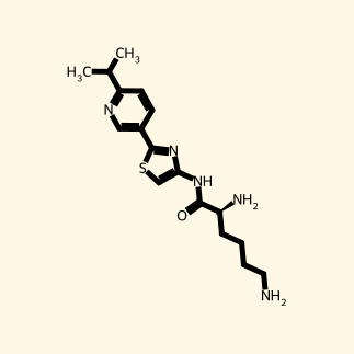 CC(C)c1ccc(-c2nc(NC(=O)[C@@H](N)CCCCN)cs2)cn1